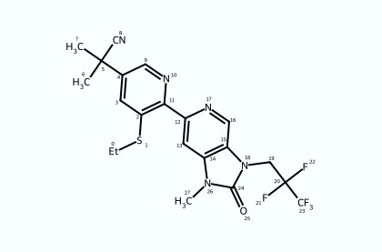 CCSc1cc(C(C)(C)C#N)cnc1-c1cc2c(cn1)n(CC(F)(F)C(F)(F)F)c(=O)n2C